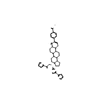 COC(=O)c1ccc(C2=CC[C@@]3(C)C(CC[C@]4(C)C3CC[C@@H]3C5CCC[C@]5(N(CC(=O)c5cccs5)c5nc(-c6cccs6)cs5)CC[C@]34C)C2(C)C)cc1